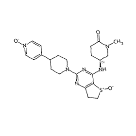 CN1C[C@@H](Nc2nc(N3CCC(c4cc[n+]([O-])cc4)CC3)nc3c2[S+]([O-])CC3)CCC1=O